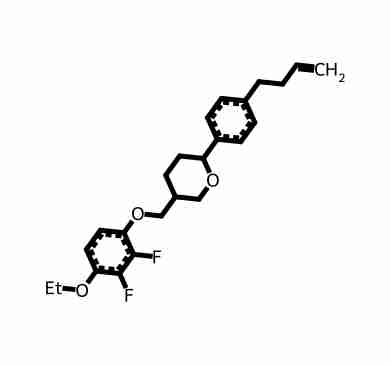 C=CCCc1ccc(C2CCC(COc3ccc(OCC)c(F)c3F)CO2)cc1